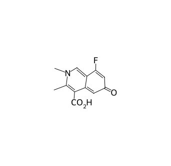 Cc1c(C(=O)O)c2cc(=O)cc(F)c-2cn1C